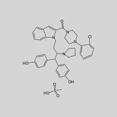 CS(=O)(=O)O.O=C(c1cc2ccccc2n1CCC(C(c1ccc(O)cc1)c1ccc(O)cc1)N1CCCC1)N1CCN(c2ccccc2Cl)CC1